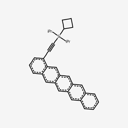 CC(C)[Si](C#Cc1cccc2cc3cc4cc5ccccc5cc4cc3cc12)(C(C)C)C1CCC1